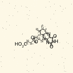 Cc1cc2nc3c(=O)[nH]c(=O)nc-3n(CCOC(O)CCC(=O)O)c2cc1C